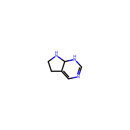 C1=NC=C2CCNC2N1